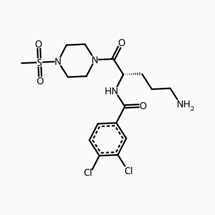 CS(=O)(=O)N1CCN(C(=O)[C@H](CCCN)NC(=O)c2ccc(Cl)c(Cl)c2)CC1